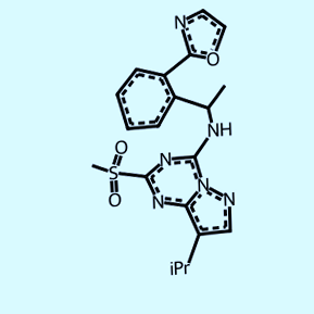 CC(C)c1cnn2c(NC(C)c3ccccc3-c3ncco3)nc(S(C)(=O)=O)nc12